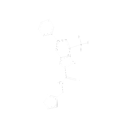 O=C(NCc1cccs1)c1cc2cc(-c3ccccc3)cc(C(F)(F)F)n2n1